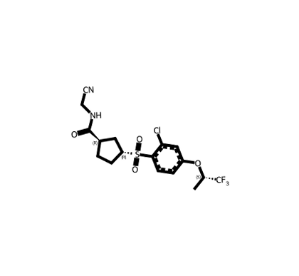 C[C@H](Oc1ccc(S(=O)(=O)[C@@H]2CC[C@@H](C(=O)NCC#N)C2)c(Cl)c1)C(F)(F)F